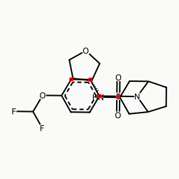 O=S(=O)(c1ccc(OC(F)F)cc1)N1C2CCC1CC(N[C@@H]1CCOC1)C2